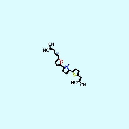 Cn1c(-c2ccc(/C=C/C=C(C#N)C#N)o2)ccc1-c1ccc(C=C(C#N)C#N)s1